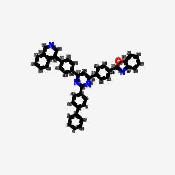 c1ccc(-c2ccc(-c3nc(-c4ccc(-c5nc6ccccc6o5)cc4)cc(-c4ccc(-c5cncc6ccccc56)cc4)n3)cc2)cc1